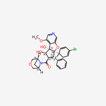 COc1cncc2c1[C@]1(O)[C@H](O)[C@H](C(=O)N3[C@@H]4COC[C@H]3C4)[C@@H](c3ccccc3)[C@]1(C1(C)C=CC(Br)=CC1)O2